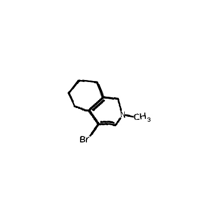 CN1C=C(Br)C2=C(CCCC2)C1